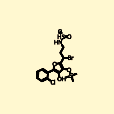 C[Si](C)(C)Oc1c(C(Br)CCN[SH](=O)=O)oc(-c2ccccc2Cl)c1O